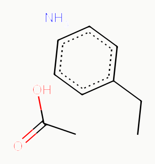 CC(=O)O.CCc1ccccc1.N